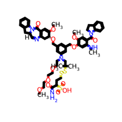 CNc1cc(OCc2cc(CO[C@@H]3CC4=C(C=C3OC)C(=O)N3c5ccccc5C[C@H]3C=N4)cc(N(CCOCCOCCOC)CC(C)(C)SSCCC(C(N)=O)S(=O)(=O)O)c2)c(OC)cc1C(=O)N1CCc2ccccc21